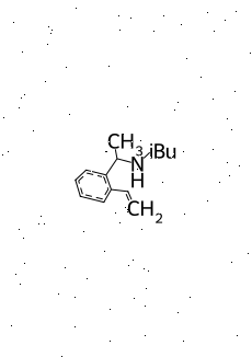 C=Cc1ccccc1C(C)NC(C)CC